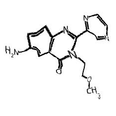 COCCn1c(-c2cnccn2)nc2ccc(N)cc2c1=O